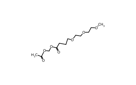 COCCOCCOCCCC(=O)OCOC(C)=O